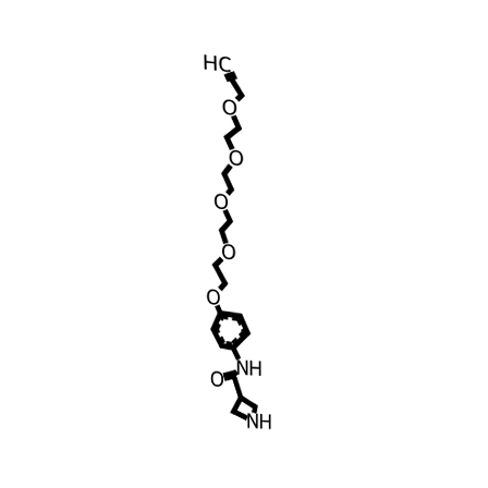 C#CCOCCOCCOCCOCCOc1ccc(NC(=O)C2CNC2)cc1